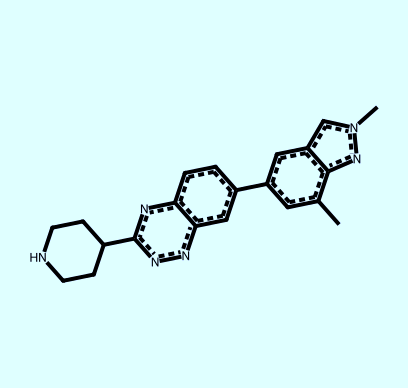 Cc1cc(-c2ccc3nc(C4CCNCC4)nnc3c2)cc2cn(C)nc12